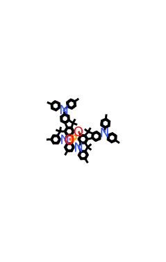 Cc1ccc(N(c2ccc(C)cc2)c2ccc3c(c2)C(C)(C)c2c4c5c6c(c2-3)C(C)(C)c2cc(C)ccc2N6c2cc(C)cc3c2P5(=O)c2c(c5c(c6c2N3c2ccc(C)cc2C6(C)C)-c2ccc(N(c3ccc(C)cc3)c3ccc(C)cc3)cc2C5(C)C)O4)cc1